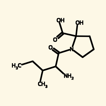 CCC(C)C(N)C(=O)N1CCCC1(O)C(=O)O